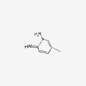 Cc1ccc(=N)n(N)c1